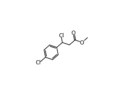 COC(=O)CC(Cl)c1ccc(Cl)cc1